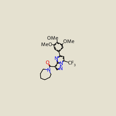 COc1cc(-c2cc(C(F)(F)F)n3ncc(C(=O)N4CCCCCC4)c3n2)cc(OC)c1OC